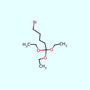 CCOC(CCCCBr)(OCC)OCC